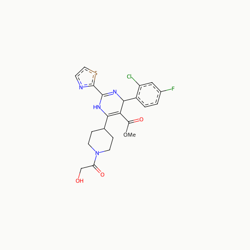 COC(=O)C1=C(C2CCN(C(=O)CO)CC2)NC(c2nccs2)=NC1c1ccc(F)cc1Cl